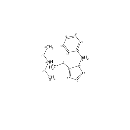 CCC1=CC=C[C]1[SiH2]c1ccccc1.CCNCC